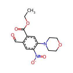 CCOC(=O)c1cc(N2CCOCC2)c([N+](=O)[O-])cc1C=O